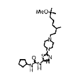 COC(C)(C)CCCC(C)CCN1CCN(c2nnc(NC(=O)NC3CCCC3)s2)CC1